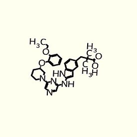 CCOc1ccccc1O[C@@H]1CCCN(c2cncc(Nc3cc4cc(CC(C)(C)C(=O)O)ccc4[nH]3)n2)C1